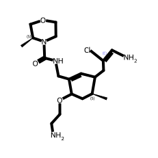 C[C@H]1CC(OCCN)C(CNC(=O)N2CCOC[C@@H]2C)=CC1C/C(Cl)=C\N